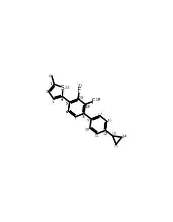 Cc1ccc(-c2ccc(-c3ccc(C4CC4)cc3)c(F)c2F)s1